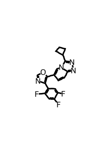 Fc1cc(F)c(-c2ncoc2-c2ccc3nnc(C4CCC4)n3c2)cc1F